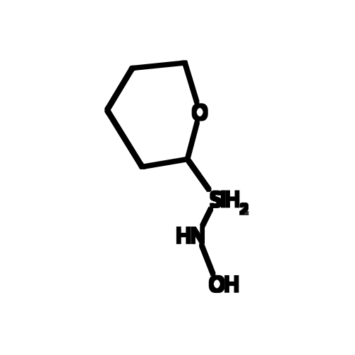 ON[SiH2]C1CCCCO1